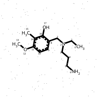 CCN(CCCN)Cc1ccc(OC)c(C)c1O